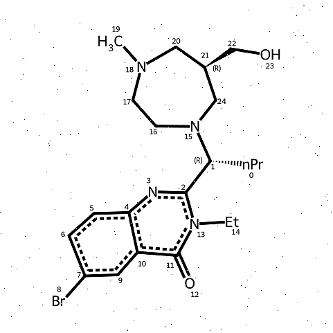 CCC[C@H](c1nc2ccc(Br)cc2c(=O)n1CC)N1CCN(C)C[C@@H](CO)C1